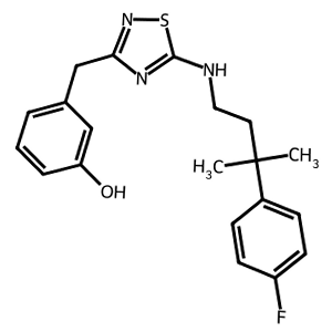 CC(C)(CCNc1nc(Cc2cccc(O)c2)ns1)c1ccc(F)cc1